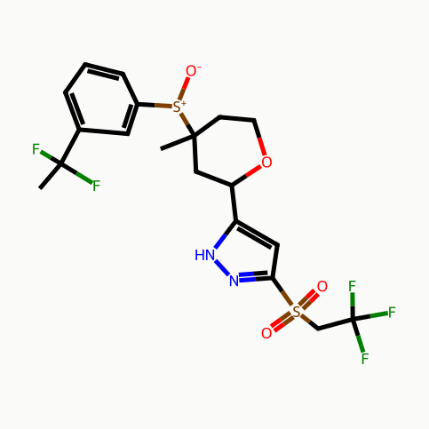 CC(F)(F)c1cccc([S+]([O-])C2(C)CCOC(c3cc(S(=O)(=O)CC(F)(F)F)n[nH]3)C2)c1